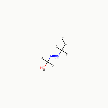 CCC(C)(C)/N=N/C(C)(C)O